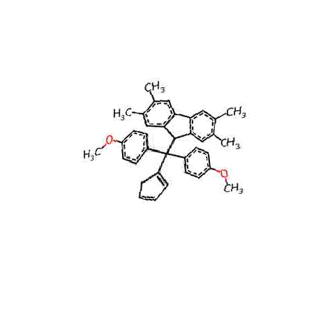 COc1ccc(C(C2=CC=CC2)(c2ccc(OC)cc2)C2c3cc(C)c(C)cc3-c3cc(C)c(C)cc32)cc1